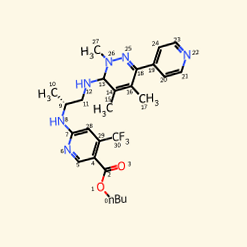 CCCCOC(=O)c1cnc(N[C@H](C)CNC2C(C)=C(C)C(c3ccncc3)=NN2C)cc1C(F)(F)F